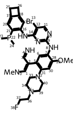 CN/C=C(\C=N)c1cc(Nc2ncc(Br)c(Nc3cc4c(cc3P(C)C)CC4)n2)c(OC)cc1N1CCN(CCF)CC1